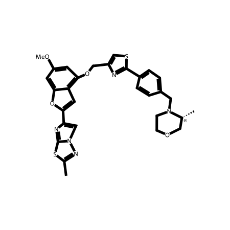 COc1cc(OCc2csc(-c3ccc(CN4CCOC[C@H]4C)cc3)n2)c2cc(-c3cn4nc(C)sc4n3)oc2c1